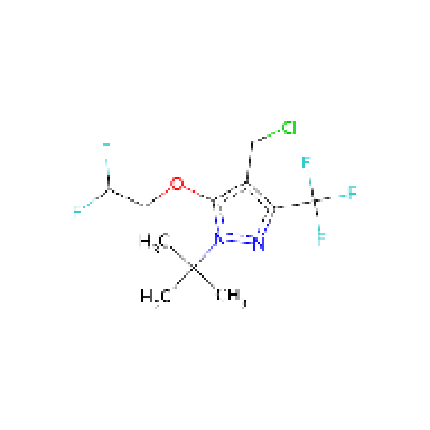 CC(C)(C)n1nc(C(F)(F)F)c(CCl)c1OCC(F)F